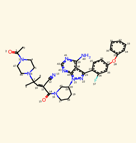 CC(=O)N1CCN(C(C)(C)C=C(C#N)C(=O)N2CCC[C@H](n3nc(-c4ccc(Oc5ccccc5)cc4F)c4c(N)ncnc43)C2)CC1